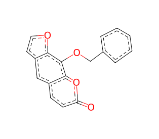 O=c1ccc2cc3ccoc3c(OCc3ccccc3)c2o1